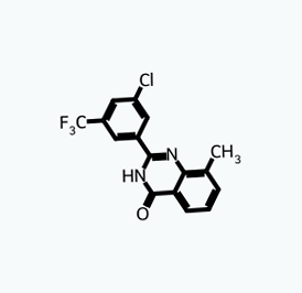 Cc1cccc2c(=O)[nH]c(-c3cc(Cl)cc(C(F)(F)F)c3)nc12